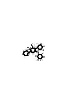 Cc1c2oc3ccccc3c2cc2c1c1ccccc1n2-c1ccccc1